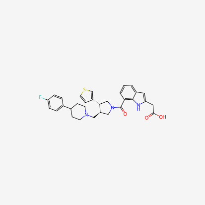 O=C(O)Cc1cc2cccc(C(=O)N3C[C@@H](CN4CCC(c5ccc(F)cc5)CC4)[C@H](c4ccsc4)C3)c2[nH]1